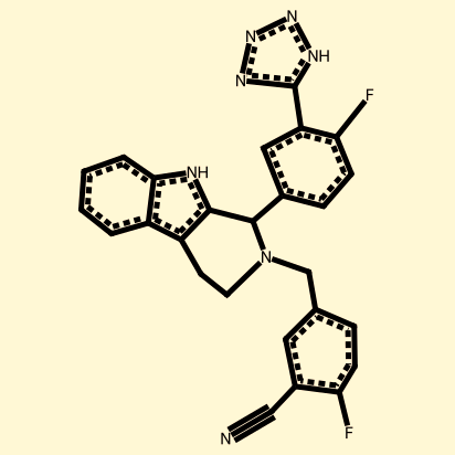 N#Cc1cc(CN2CCc3c([nH]c4ccccc34)C2c2ccc(F)c(-c3nnn[nH]3)c2)ccc1F